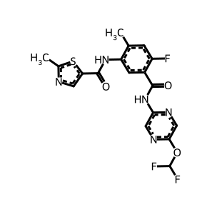 Cc1ncc(C(=O)Nc2cc(C(=O)Nc3cnc(OC(F)F)cn3)c(F)cc2C)s1